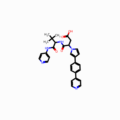 CC(C)(C)C(NC(=O)C(CC(=O)O)n1ccc(-c2ccc(-c3ccncc3)cc2)c1)C(=O)Nc1ccncc1